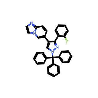 Fc1ccccc1-c1nn(C(c2ccccc2)(c2ccccc2)c2ccccc2)cc1-c1ccc2nccn2c1